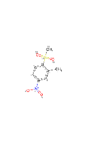 Cc1cc([N+](=O)[O-])ccc1S(C)(=O)=O